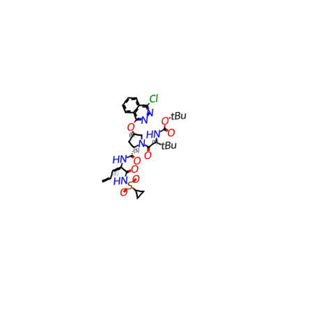 C=C/C=C(/NC(=O)[C@@H]1C[C@@H](Oc2nnc(Cl)c3ccccc23)CN1C(=O)[C@@H](NC(=O)OC(C)(C)C)C(C)(C)C)C(=O)NS(=O)(=O)C1CC1